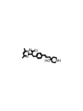 CCC1=NN2C(C)=CC(C)=NC2C1Cc1ccc(/C=C/CC2(O)CCNCC2)cc1